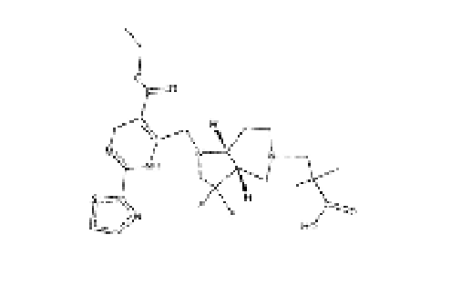 CCOC(=O)C1=C(CN2CC(F)(F)[C@H]3CN(CC(C)(C)C(=O)O)CC[C@H]32)NC(c2nccs2)=NC1